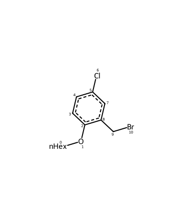 CCCCCCOc1ccc(Cl)cc1CBr